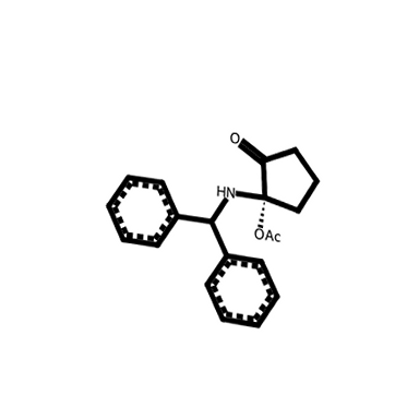 CC(=O)O[C@@]1(NC(c2ccccc2)c2ccccc2)CCCC1=O